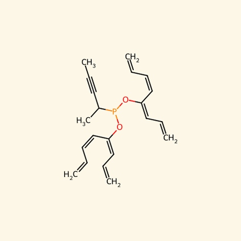 C=C/C=C\C(=C/C=C)OP(OC(/C=C\C=C)=C/C=C)C(C)C#CC